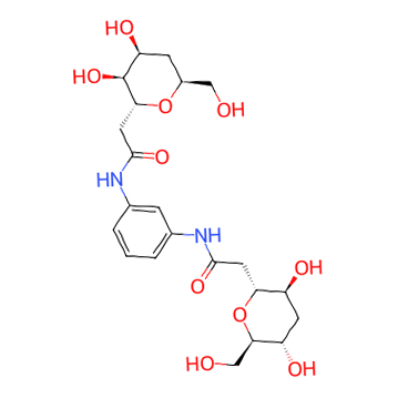 O=C(C[C@H]1O[C@H](CO)C[C@H](O)[C@@H]1O)Nc1cccc(NC(=O)C[C@H]2O[C@H](CO)[C@@H](O)C[C@@H]2O)c1